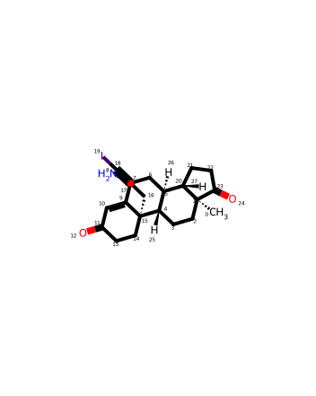 C[C@]12CC[C@H]3[C@@H](C[C@H](N)C4=CC(=O)CC[C@@]43CC#CI)[C@@H]1CCC2=O